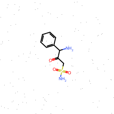 NC(C(=O)CS(N)(=O)=O)c1ccccc1